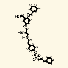 O=P(O)(CCCc1ccccc1)COc1ccc(CCNCC(O)COc2ccc(OCc3ccccc3)c(CO)c2)cc1